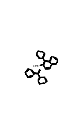 C=C(c1ccccc1)c1ccccc1.O=Cc1ccc2ccccc2c1-c1ccccc1